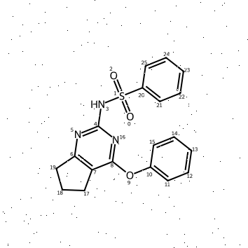 O=S(=O)(Nc1nc2c(c(Oc3ccccc3)n1)CCC2)c1ccccc1